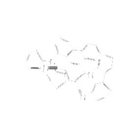 N#Cc1cc(C#N)c(-n2c3ccccc3c3ccccc32)c(-c2ccccc2-c2cccc(-n3c4ccccc4c4ccccc43)c2)c1